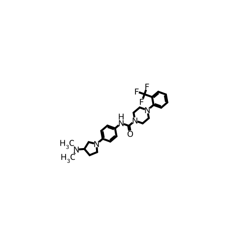 CN(C)C1CCN(c2ccc(NC(=O)N3CCN(c4ccccc4C(F)(F)F)CC3)cc2)C1